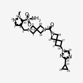 Cn1ncc(CN2CC3(C2)CN(C(=O)N2CC4(CC(n5cnc(C6CC6)n5)C4)C2)C3)c1S(N)(=O)=O